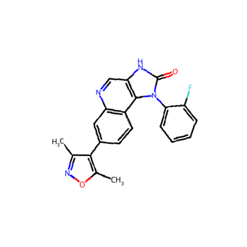 Cc1noc(C)c1-c1ccc2c(c1)ncc1[nH]c(=O)n(-c3ccccc3F)c12